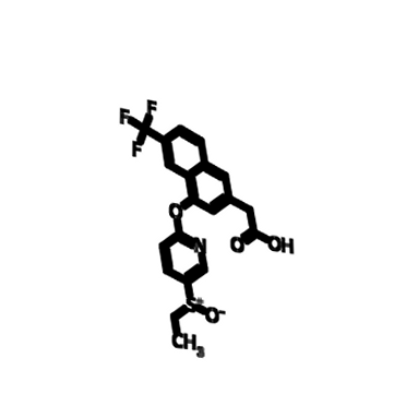 CC[S+]([O-])c1ccc(Oc2cc(CC(=O)O)cc3ccc(C(F)(F)F)cc23)nc1